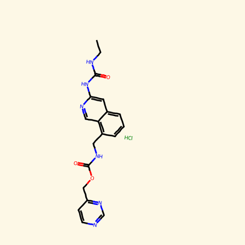 CCNC(=O)Nc1cc2cccc(CNC(=O)OCc3ccncn3)c2cn1.Cl